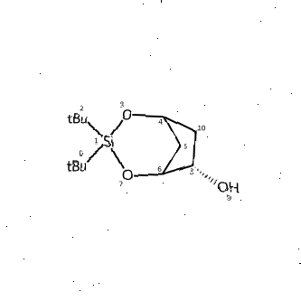 CC(C)(C)[Si]1(C(C)(C)C)OC2CC(O1)[C@@H](O)C2